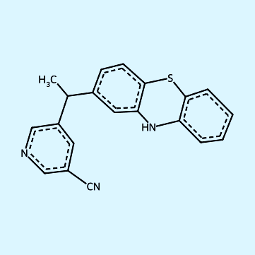 CC(c1cncc(C#N)c1)c1ccc2c(c1)Nc1ccccc1S2